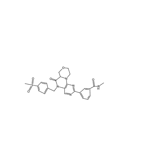 CNC(=O)c1cccc(-c2ncc3c(n2)N2CCOCC2C(=O)N3Cc2ccc(S(C)(=O)=O)cc2)c1